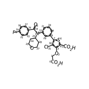 O=C(O)COc1c(C(=O)O)sc(-c2cccc(N(C(=O)c3ccc(F)cc3)C3CCOCC3)c2)c1Cl